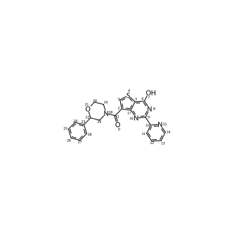 O=C(c1csc2c(O)nc(-c3ccccn3)nc12)N1CCOC(c2ccccc2)C1